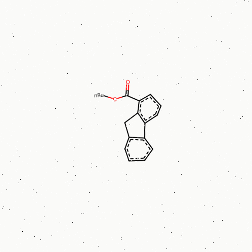 CCCCOC(=O)c1cccc2c1Cc1ccccc1-2